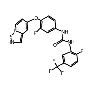 O=C(Nc1ccc(OC2=CC3=CNSN3C=C2)c(F)c1)Nc1cc(C(F)(F)F)ccc1F